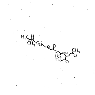 CC(=O)CCC(NC(=O)CNC(=O)COCCOCCNC(C)C)C(C)=O